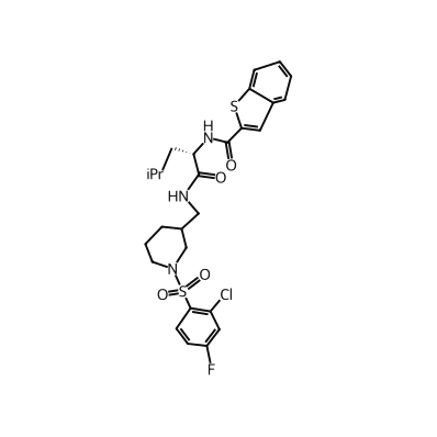 CC(C)C[C@H](NC(=O)c1cc2ccccc2s1)C(=O)NCC1CCCN(S(=O)(=O)c2ccc(F)cc2Cl)C1